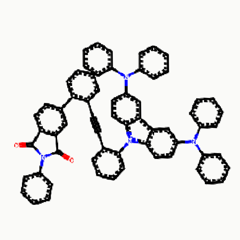 O=C1c2ccc(-c3ccccc3C#Cc3ccccc3-n3c4ccc(N(c5ccccc5)c5ccccc5)cc4c4cc(N(c5ccccc5)c5ccccc5)ccc43)cc2C(=O)N1c1ccccc1